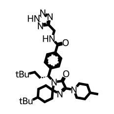 CC1CCN(C2=NC3(CCC(C(C)(C)C)CC3)N([C@H](CCC(C)(C)C)c3ccc(C(=O)NCc4nn[nH]n4)cc3)C2=O)CC1